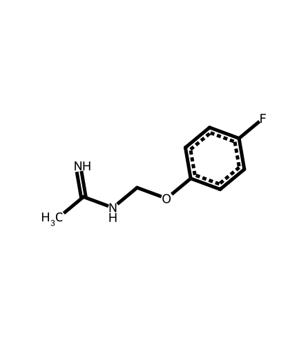 CC(=N)NCOc1ccc(F)cc1